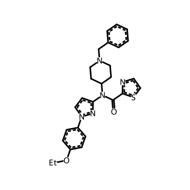 CCOc1ccc(-n2ccc(N(C(=O)c3nccs3)C3CCN(Cc4ccccc4)CC3)n2)cc1